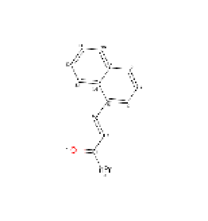 CCCC(=O)C=Cc1cccc2ccccc12